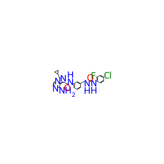 Nc1nccn2c(C3CC3)nc(C(=O)Nc3cccc(CNC(=O)Nc4ccc(Cl)cc4F)c3)c12